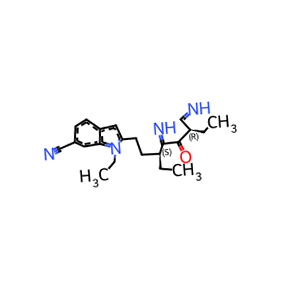 CC[C@@H](CCc1cc2ccc(C#N)cc2n1CC)C(=N)C(=O)[C@@H](C=N)CC